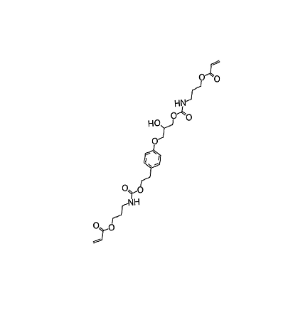 C=CC(=O)OCCCNC(=O)OCCc1ccc(OCC(O)COC(=O)NCCCOC(=O)C=C)cc1